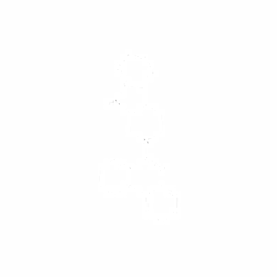 O=C(c1ccccc1-c1ccccc1)N1CCC2c3ccccc3NC2C1